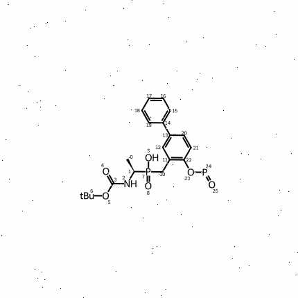 C[C@H](NC(=O)OC(C)(C)C)P(=O)(O)Cc1cc(-c2ccccc2)ccc1OP=O